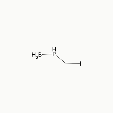 BPCI